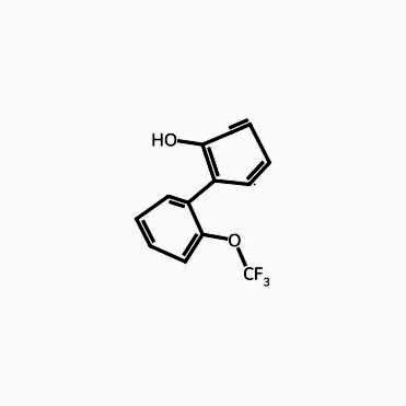 Oc1ccc[c]c1-c1ccccc1OC(F)(F)F